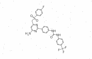 Nc1cc(CS(=O)(=O)c2ccc(F)cc2)nc(-c2ccc(NC(=O)Nc3ccc(C(F)(F)F)cc3)cc2)n1